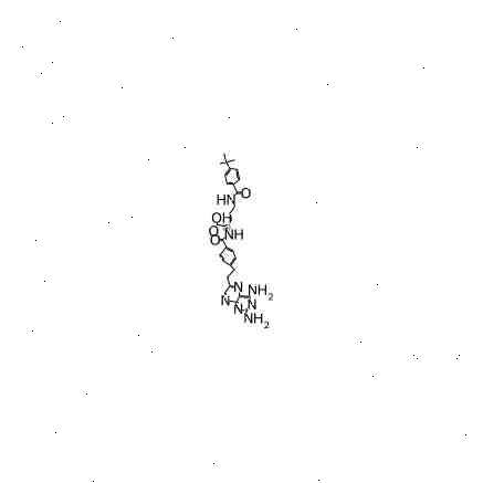 CC(C)(C)c1ccc(C(=O)NCCC[C@H](NC(=O)c2ccc(CCc3cnc4nc(N)nc(N)c4n3)cc2)C(=O)O)cc1